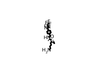 CCN(CCCCN)C[C@@H](C)NC(=O)c1ccc(-c2noc(C(F)(F)F)n2)cc1